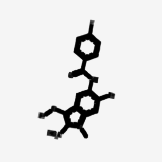 CCc1cc2c(cc1NC(=O)c1ccc(F)cc1)c(OC(C)C)c(C(=O)O)n2C